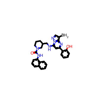 Bc1cnn2c(NCC3CCCN(C(=O)Nc4cccc5ccccc45)C3)cc(-c3ccccc3O)nc12